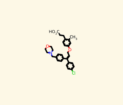 Cc1cc(OC/C=C(/c2ccc(Cl)cc2)c2ccc(CN3CCOCC3)cc2)ccc1CCC(=O)O